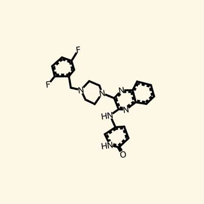 O=c1ccc(Nc2nc3ccccc3nc2N2CCN(Cc3cc(F)ccc3F)CC2)c[nH]1